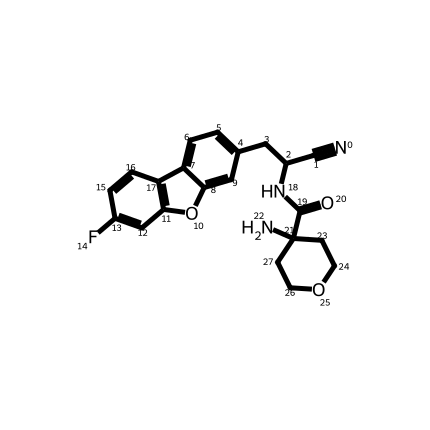 N#CC(Cc1ccc2c(c1)oc1cc(F)ccc12)NC(=O)C1(N)CCOCC1